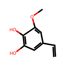 C=Cc1cc(O)c(O)c(OC)c1